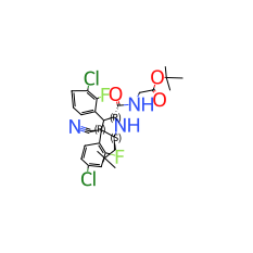 CC(C)(C)C[C@@H]1N[C@@H](C(=O)NCC(=O)OC(C)(C)C)C(c2cccc(Cl)c2F)[C@@]1(C#N)c1ccc(Cl)cc1F